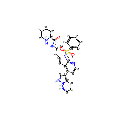 O=C(NCCc1cc2c(-c3cnn4ncccc34)ccnc2n1S(=O)(=O)c1ccccc1)[C@@H]1CCCCN1